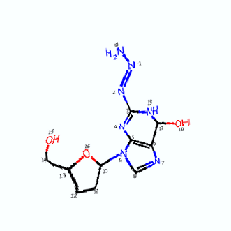 NN=NC1=Nc2c(ncn2C2CCC(CO)O2)C(O)N1